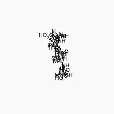 CSCC[C@H](NC(=O)[C@H](CC(C)C)NC(=O)[C@H](Cc1cnc[nH]1)NC(=O)CNC(=O)[C@@H](NC(=O)[C@H](C)NC(=O)[C@H](Cc1c[nH]c2ccccc12)NC(=O)[C@H](CCC(N)=O)NC(=O)CCCCNC(=O)CNC(=O)[C@H](CS)NC(=O)[C@H](CO)NCCN(C)C)C(C)C)C(=O)O